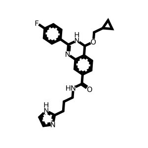 O=C(NCCCc1ncc[nH]1)c1ccc2c(c1)N=C(c1ccc(F)cc1)NC2OCC1CC1